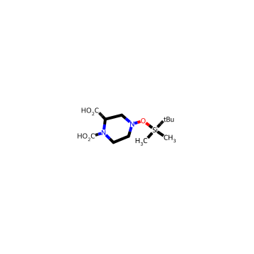 CC(C)(C)[Si](C)(C)ON1CCN(C(=O)O)C(C(=O)O)C1